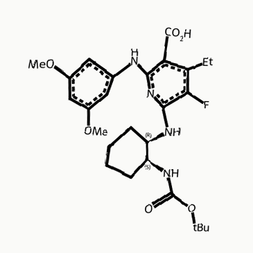 CCc1c(F)c(N[C@@H]2CCCC[C@@H]2NC(=O)OC(C)(C)C)nc(Nc2cc(OC)cc(OC)c2)c1C(=O)O